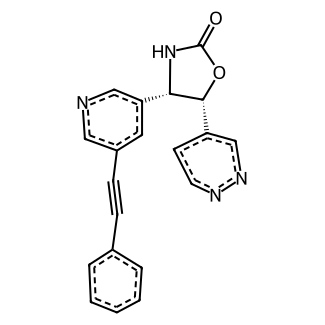 O=C1N[C@@H](c2cncc(C#Cc3ccccc3)c2)[C@@H](c2ccnnc2)O1